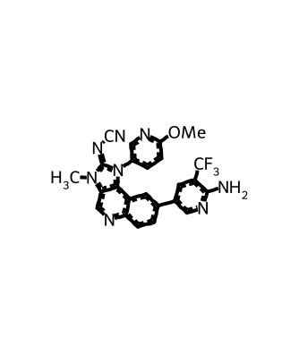 COc1ccc(-n2/c(=N\C#N)n(C)c3cnc4ccc(-c5cnc(N)c(C(F)(F)F)c5)cc4c32)cn1